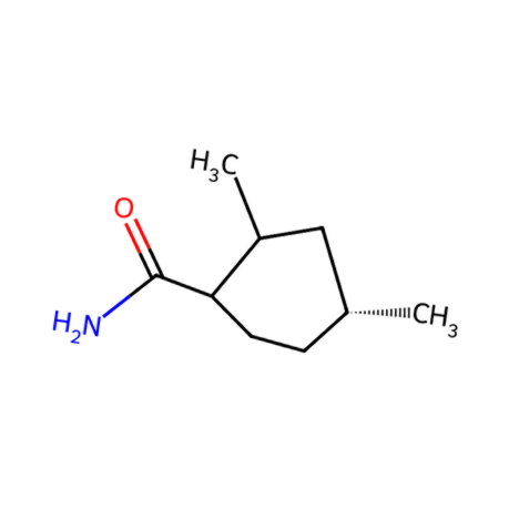 CC1C[C@H](C)CCC1C(N)=O